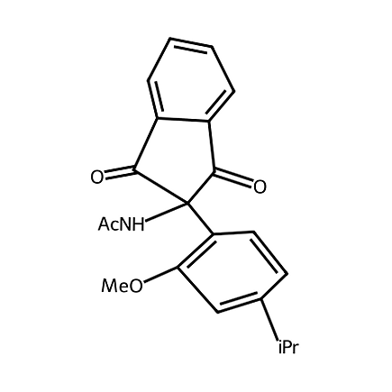 COc1cc(C(C)C)ccc1C1(NC(C)=O)C(=O)c2ccccc2C1=O